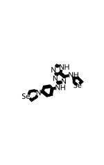 c1nc2nc(Nc3ccc(N4CC[Se]CC4)cc3)nc(N[C@H]3CC[Se]C3)c2[nH]1